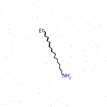 CCC=CC=CC=CC=CCCCCCCCCN